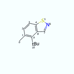 Cc1ccc2sncc2c1C(C)(C)C